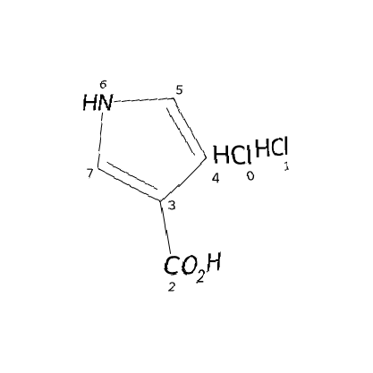 Cl.Cl.O=C(O)c1cc[nH]c1